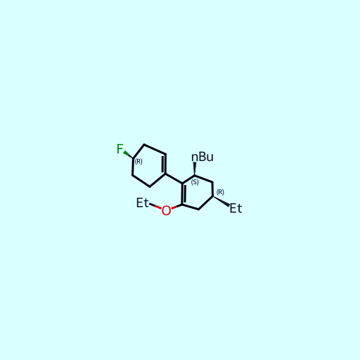 CCCC[C@H]1C[C@@H](CC)CC(OCC)=C1C1=CC[C@H](F)CC1